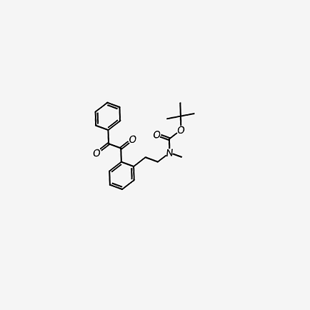 CN(CCc1ccccc1C(=O)C(=O)c1ccccc1)C(=O)OC(C)(C)C